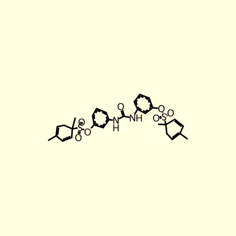 CC1=CCC(C)(S(=O)(=O)Oc2cccc(NC(=O)Nc3cccc(OS(=O)(=O)C4(C)C=CC(C)=CC4)c3)c2)C=C1